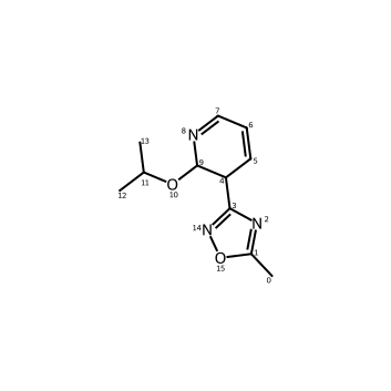 Cc1nc(C2C=CC=NC2OC(C)C)no1